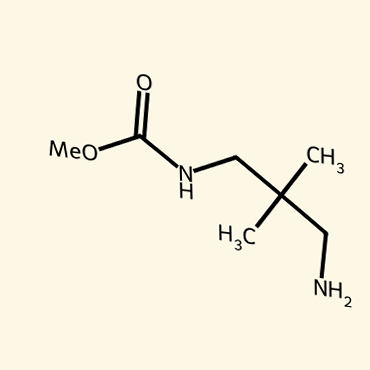 COC(=O)NCC(C)(C)CN